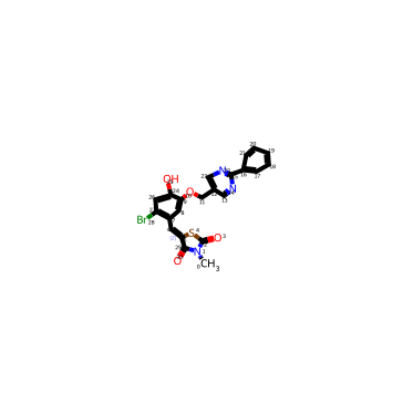 CN1C(=O)S/C(=C\c2cc(OCc3cnc(-c4ccccc4)nc3)c(O)cc2Br)C1=O